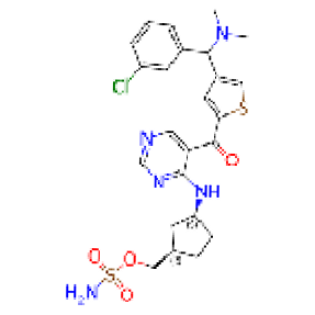 CN(C)C(c1cccc(Cl)c1)c1csc(C(=O)c2cncnc2N[C@H]2CC[C@@H](COS(N)(=O)=O)C2)c1